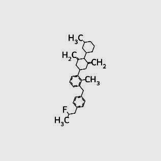 C=C1CC(c2cccc(Cc3ccc(CC(C)F)cc3)c2C)CC(=C)C1C1CCCC(C)C1